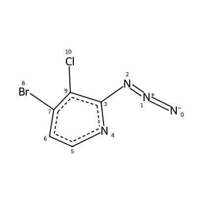 [N-]=[N+]=Nc1nccc(Br)c1Cl